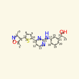 Cc1noc(C)c1-c1ccc(-c2ccnc(Nc3cccc(C(C)O)c3)n2)s1